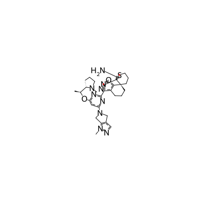 C[C@H](Oc1cc(N2Cc3cnn(C)c3C2)nc(-c2noc3c2CCC[C@@]32CCCc3sc(N)c(C#N)c32)n1)[C@@H]1CCCN1C